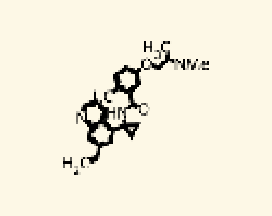 C=Cc1cc(C2(NC(=O)c3cc(OCC(C)NC)ccc3C)CC2)c2cccnc2c1